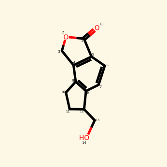 O=C1OCc2c1ccc1c2CCC1CO